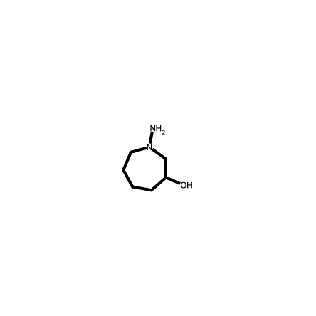 NN1CCCCC(O)C1